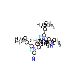 C[Si](C)(C)c1ccc(-c2cc(F)c(N(c3ccc(C#N)cc3)c3ccc4ccc5c(N(c6ccc(C#N)cc6)c6c(F)cc(-c7ccc([Si](C)(C)C)cc7)cc6-c6ccc([Si](C)(C)C)cc6)ccc6ccc3c4c65)c(-c3ccc([Si](C)(C)C)cc3)c2)cc1